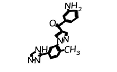 Cc1ccc(-c2nnc[nH]2)cc1-n1cc(C(=O)c2cccc(N)c2)cn1